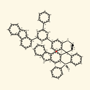 O=P1(c2ccccc2)c2ccccc2C2(c3ccccc3Oc3cc(-c4nc(-c5ccccc5)nc(-c5cccc6c5sc5ccccc56)n4)ccc32)c2cc3c(cc21)oc1ccccc13